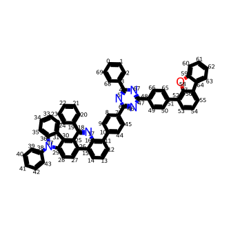 c1ccc(-c2nc(-c3ccc(-c4cccc5c4nc(-c4ccccc4)c4c5ccc5c4c4ccccc4n5-c4ccccc4)cc3)nc(-c3ccc(-c4cccc5c4oc4ccccc45)cc3)n2)cc1